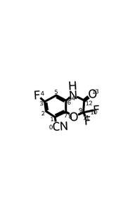 N#Cc1cc(F)cc2c1OC(F)(F)C(=O)N2